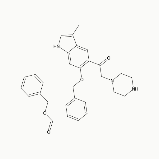 Cc1c[nH]c2cc(OCc3ccccc3)c(C(=O)CN3CCNCC3)cc12.O=COCc1ccccc1